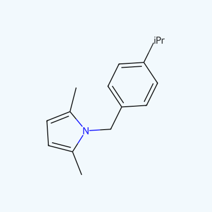 Cc1ccc(C)n1Cc1ccc(C(C)C)cc1